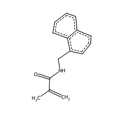 C=C(C)C(=O)NCc1cccc2ccccc12